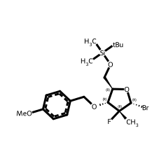 COc1ccc(CO[C@@H]2[C@@H](CO[Si](C)(C)C(C)(C)C)O[C@H](Br)[C@]2(C)F)cc1